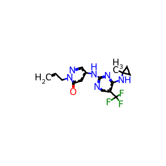 C=CCn1ncc(Nc2ncc(C(F)(F)F)c(NC3(C)CC3)n2)cc1=O